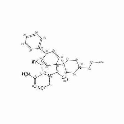 CC(C)C[C@@H](C(N)=O)N(CC#N)C(C(F)(F)F)C1(N2CCN(CCF)CC2)C=CC(c2ccccc2)C=C1